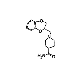 NC(=O)C1CCN(CC2COc3ccccc3O2)CC1